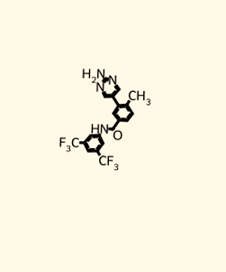 Cc1ccc(C(=O)Nc2cc(C(F)(F)F)cc(C(F)(F)F)c2)cc1-c1cnc(N)nc1